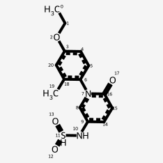 CCOc1ccc(-n2cc(N[SH](=O)=O)ccc2=O)c(C)c1